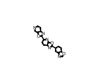 c1cc2nc(-c3ccc4nc(-c5ccc6ocnc6c5)oc4n3)oc2cn1